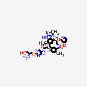 CC[C@@H]1CN(Cc2cc([C@@H](c3ccc4c(c3C)NN(C)N4CC)C(C)(C)C(=O)Nc3cnc(OCC(N)CO)nc3)ccc2C)S(=O)(=O)c2cccnc2O1